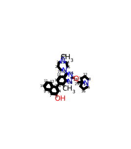 Cc1c(-c2cc(O)cc3ccccc23)ccc2c(N3CCCN(C)CC3)nc(OCC34CCCN3CCC4)nc12